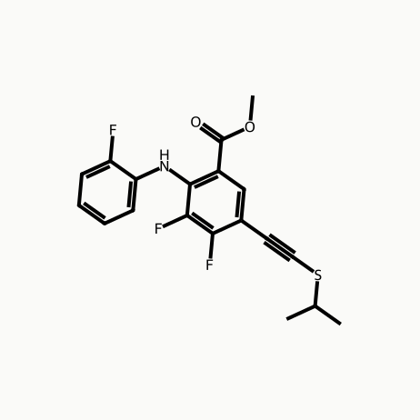 COC(=O)c1cc(C#CSC(C)C)c(F)c(F)c1Nc1ccccc1F